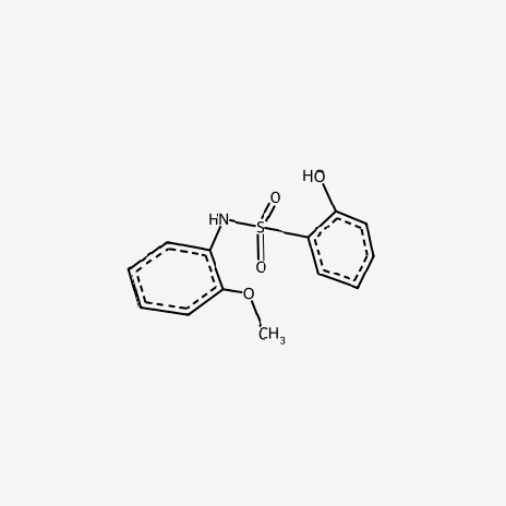 COc1ccccc1NS(=O)(=O)c1ccccc1O